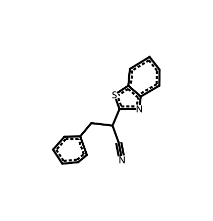 N#CC(Cc1ccccc1)c1nc2ccccc2s1